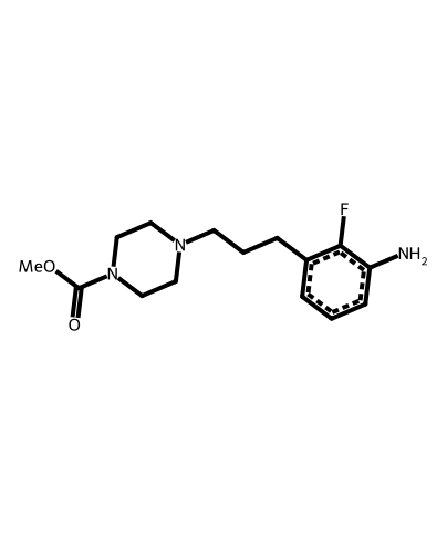 COC(=O)N1CCN(CCCc2cccc(N)c2F)CC1